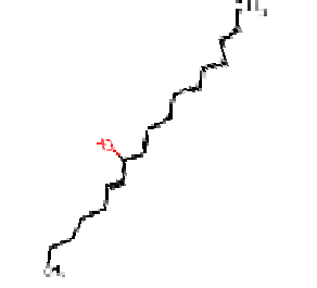 CCCCCC=CC(O)CCCCCCCCCC